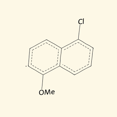 COc1[c]ccc2c(Cl)cccc12